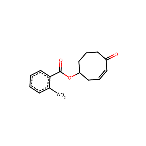 O=C1C=CCC(OC(=O)c2ccccc2[N+](=O)[O-])CCC1